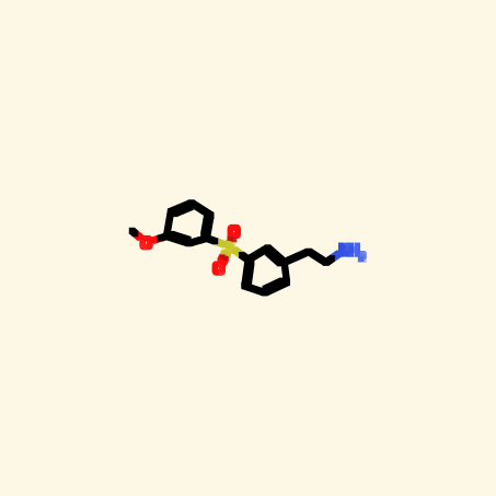 COc1cccc(S(=O)(=O)c2cccc(CCN)c2)c1